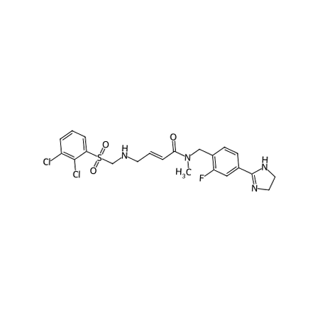 CN(Cc1ccc(C2=NCCN2)cc1F)C(=O)C=CCNCS(=O)(=O)c1cccc(Cl)c1Cl